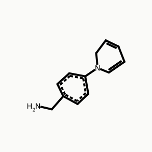 NCc1ccc(N2C=CC=CC2)cc1